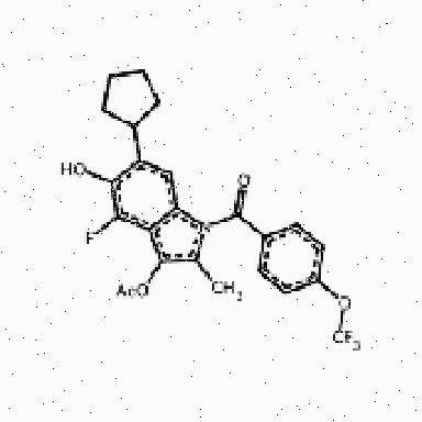 CC(=O)Oc1c(C)n(C(=O)c2ccc(OC(F)(F)F)cc2)c2cc(C3CCCC3)c(O)c(F)c12